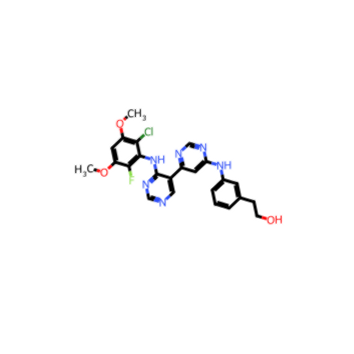 COc1cc(OC)c(Cl)c(Nc2ncncc2-c2cc(Nc3cccc(CCO)c3)ncn2)c1F